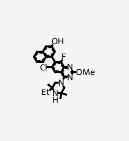 CCC1(C)CN(c2nc(OC)nc3c(F)c(-c4cc(O)cc5ccccc45)c(Cl)cc23)CC(C)(C)N1